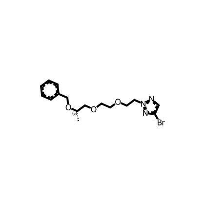 C[C@@H](COCCOCCn1ncc(Br)n1)OCc1ccccc1